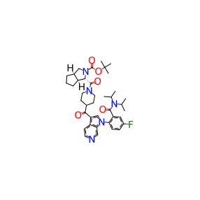 CC(C)N(C(=O)c1cc(F)ccc1-n1cc(C(=O)C2CCN(C(=O)[C@@H]3[C@H]4CCC[C@H]4CN3C(=O)OC(C)(C)C)CC2)c2ccncc21)C(C)C